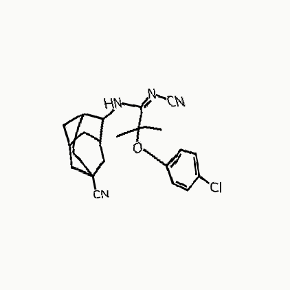 CC(C)(Oc1ccc(Cl)cc1)/C(=N\C#N)NC1C2CC3CC1CC(C#N)(C3)C2